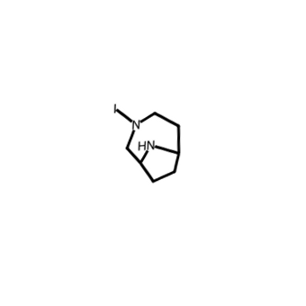 IN1CCC2CCC(C1)N2